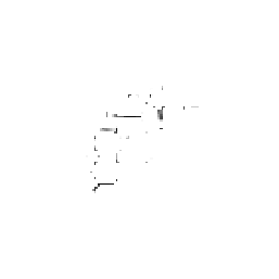 CC(=O)O[C@]1(C(=O)CO)[C@H](C)C[C@H]2[C@@H]3CC[C@@H]4CC(=O)CC[C@]4(C)[C@@]3(F)[C@@H](O)C[C@@]21C